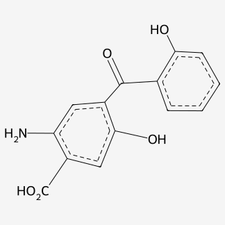 Nc1cc(C(=O)c2ccccc2O)c(O)cc1C(=O)O